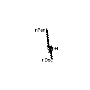 CCCCCC=CCC=CCC=CCC=CCCCC(=O)OC(CO)COC(=O)CCCCCCCCCCCCCCCCC